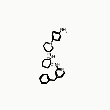 Nc1ccc(N2CCC[C@H](N[C@@H]3CCCC[C@H]3Nc3cc(Cc4ccccc4)ccn3)C2)cc1